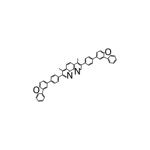 Cc1c(-c2ccc(-c3ccc4oc5ccccc5c4c3)cc2)cnc2c1ccc1c(C)c(-c3ccc(-c4ccc5oc6ccccc6c5c4)cc3)cnc12